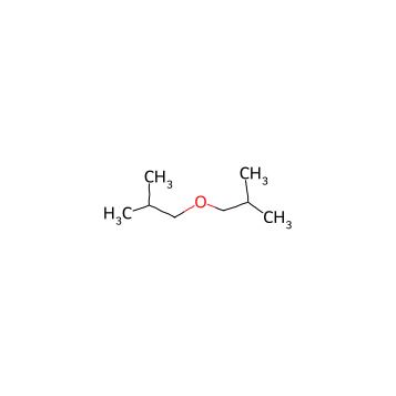 CC(C)COCC(C)C